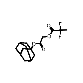 CC(F)(F)C(=O)OCC(=O)OC12CC3CC(CC(C3)C1)C2